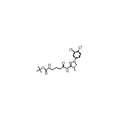 CC1CN(c2ccc(Cl)c(Cl)c2)N=C1NC(=O)CCCNC(=O)OC(C)(C)C